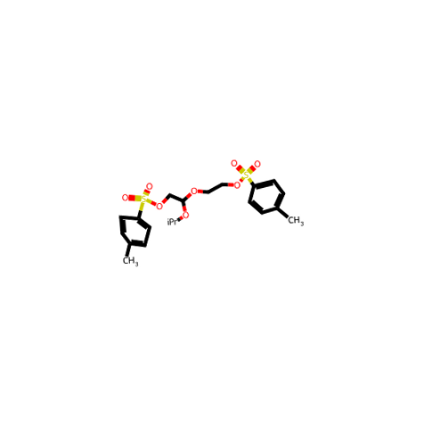 Cc1ccc(S(=O)(=O)OCCOC(COS(=O)(=O)c2ccc(C)cc2)OC(C)C)cc1